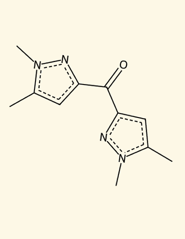 Cc1cc(C(=O)c2cc(C)n(C)n2)nn1C